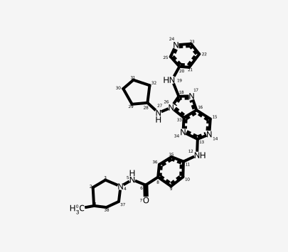 CC1CCN(NC(=O)c2ccc(Nc3ncc4nc(Nc5cccnc5)n(NC5CCCC5)c4n3)cc2)CC1